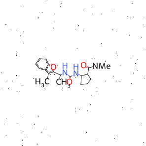 CNC(=O)C1CCCC1NC(=O)NC(C)c1oc2ccccc2c1C